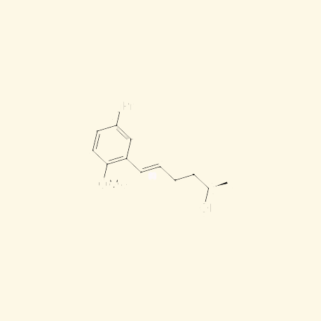 COc1ccc(C(C)C)cc1/C=C/CC[C@@H](C)O